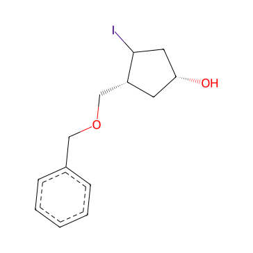 O[C@H]1CC(I)[C@@H](COCc2ccccc2)C1